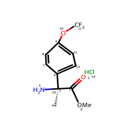 COC(=O)[C@@](C)(N)c1ccc(OC(F)(F)F)cc1.Cl